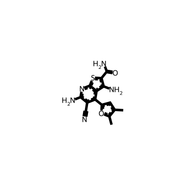 Cc1cc(-c2c(C#N)c(N)nc3sc(C(N)=O)c(N)c23)oc1C